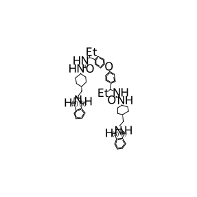 CCC(NC(=O)N[C@H]1CC[C@H](CCN2[C@@H]3CC[C@H]2c2ccccc23)CC1)c1ccc(Oc2ccc(C(CC)NC(=O)N[C@H]3CC[C@H](CCN4[C@@H]5CC[C@H]4c4ccccc45)CC3)cc2)cc1